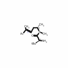 CC(=O)/C(C)=C/C[C@H](C)N(C)C(=O)[C@@H](N)C(C)(C)C